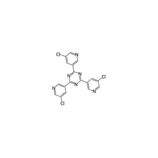 Clc1cncc(-c2nc(-c3cncc(Cl)c3)nc(-c3cncc(Cl)c3)n2)c1